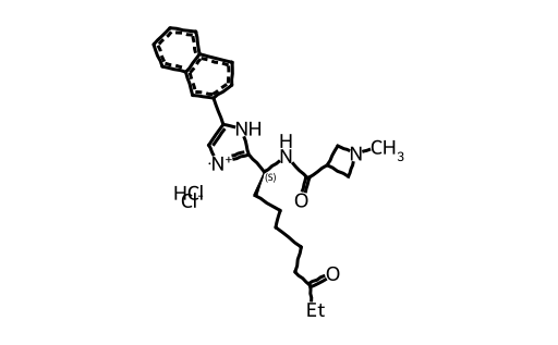 CCC(=O)CCCCC[C@H](NC(=O)C1CN(C)C1)C1=[N+]C=C(c2ccc3ccccc3c2)N1.Cl.[Cl-]